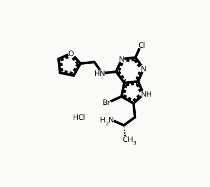 C[C@H](N)Cc1[nH]c2nc(Cl)nc(NCc3ccco3)c2c1Br.Cl